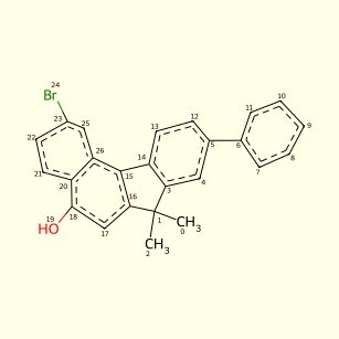 CC1(C)c2cc(-c3ccccc3)ccc2-c2c1cc(O)c1ccc(Br)cc21